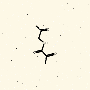 CC(=O)CNC(=O)C(C)=O